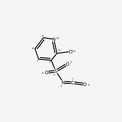 O=C=NS(=O)(=O)c1cccnc1Cl